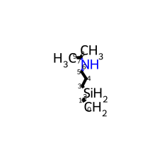 C=C[SiH2]CCCNC(C)C